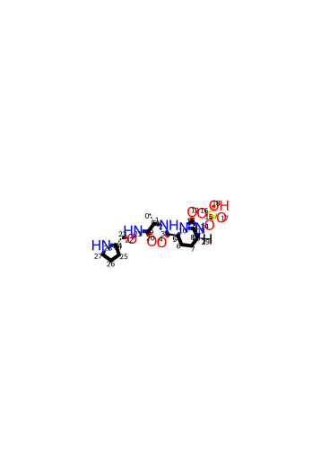 C[C@H](NC(=O)[C@@H]1CC[C@H]2CN1C(=O)N2OS(=O)(=O)O)C(=O)NOC[C@@H]1CCCN1